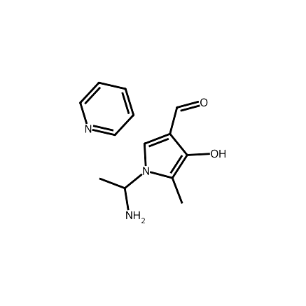 Cc1c(O)c(C=O)cn1C(C)N.c1ccncc1